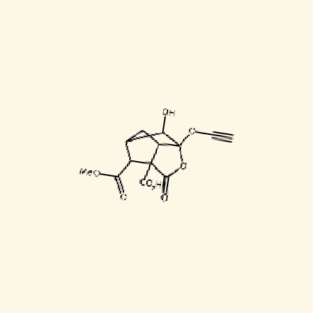 C#COC12OC(=O)C3(C(=O)O)C(C(=O)OC)C(CC13)C2O